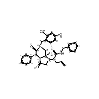 C=CCN(C(=O)NCc1ccccc1)N1CC(=O)N2[C@@H](c3ccccc3)C(=O)N(Cc3ccc(Cl)cc3Cl)C[C@@H]21